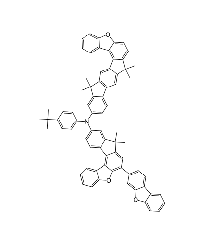 CC(C)(C)c1ccc(N(c2ccc3c(c2)C(C)(C)c2cc4c(cc2-3)C(C)(C)c2ccc3oc5ccccc5c3c2-4)c2ccc3c(c2)C(C)(C)c2cc(-c4ccc5c(c4)oc4ccccc45)c4oc5ccccc5c4c2-3)cc1